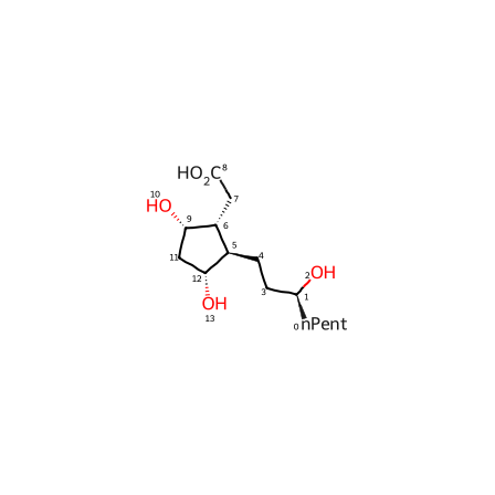 CCCCC[C@H](O)CC[C@@H]1[C@@H](CC(=O)O)[C@@H](O)C[C@H]1O